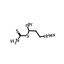 CCCCCCCCC(CCC)SC(N)=S